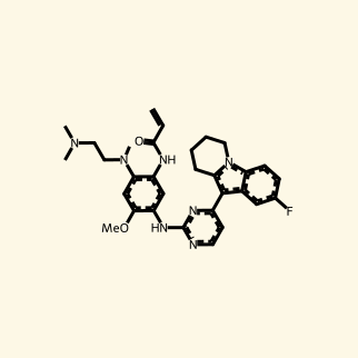 C=CC(=O)Nc1cc(Nc2nccc(-c3c4n(c5ccc(F)cc35)CCCC4)n2)c(OC)cc1N(C)CCN(C)C